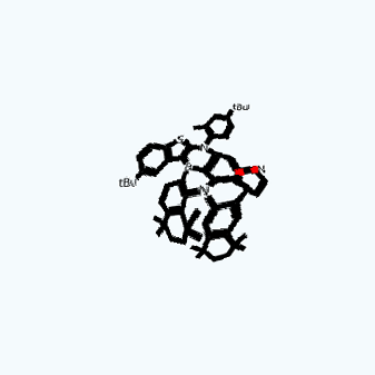 Cc1cc(C(C)(C)C)ccc1N1c2cc(C#N)cc3c2B(c2ccc4c(c2N3c2cc3c(cc2-c2ccccc2)C(C)(C)CCC3(C)C)C(C)(C)CCC4(C)C)c2c1sc1ccc(C(C)(C)C)cc21